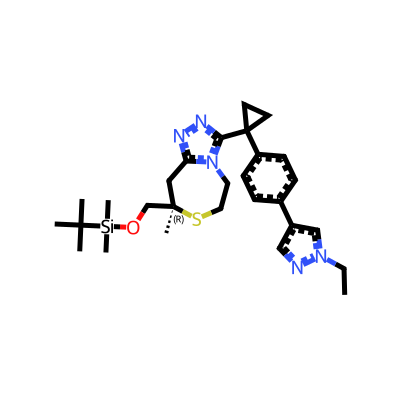 CCn1cc(-c2ccc(C3(c4nnc5n4CCS[C@@](C)(CO[Si](C)(C)C(C)(C)C)C5)CC3)cc2)cn1